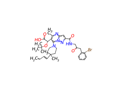 C=CC=CC1(C)CCN(c2c(C(OC(C)(C)C)C(=O)O)c(C)nc3cc(C(=O)NCC(=O)Cc4ccccc4Br)nn23)CC1